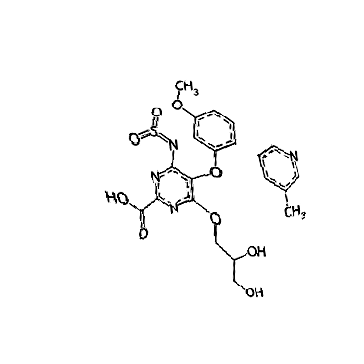 COc1cccc(Oc2c(N=S(=O)=O)nc(C(=O)O)nc2OCC(O)CO)c1.Cc1cccnc1